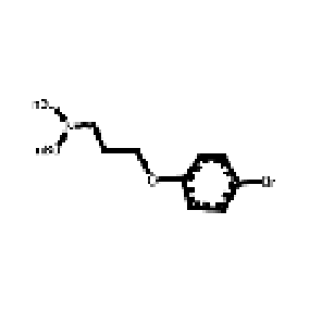 CCCCN(CCCC)CCCOc1ccc(Br)cc1